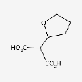 O=C(O)C(C(=O)O)C1CCCO1